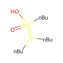 CCCCS(CCCC)=S(=O)(O)CCCC